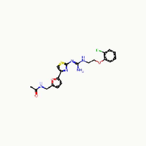 CC(=O)NCc1ccc(-c2csc(/N=C(\N)NCCOc3ccccc3Cl)n2)o1